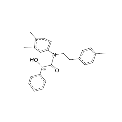 Cc1ccc(CCN(C(=O)[C@@H](O)c2ccccc2)c2ccc(C)c(C)c2)cc1